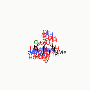 CN[C@H](CC(C)C)C(=O)N[C@H]1C(=O)N[C@@H](CC(=O)NC(=O)NS(=O)(=O)c2ccc(C)cc2)C(=O)N[C@H]2C(=O)N[C@H]3C(=O)N[C@H](C(=O)N[C@H](C(=O)NC4C5CC6CC(C5)CC4C6)c4cc(O)cc(O)c4-c4cc3ccc4O)[C@H](O)c3ccc(c(Cl)c3)Oc3cc2cc(c3O[C@@H]2C[C@H](CO)[C@@H](O)[C@H](O)[C@H]2O[C@H]2C[C@](C)(N)[C@H](O)[C@H](C)O2)Oc2ccc(cc2C)[C@H]1O